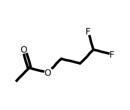 CC(=O)OCCC(F)F